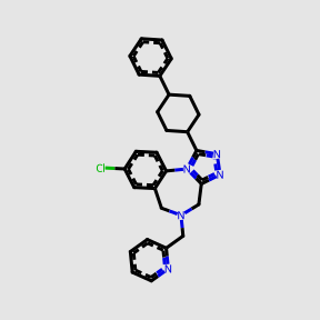 Clc1ccc2c(c1)CN(Cc1ccccn1)Cc1nnc(C3CCC(c4ccccc4)CC3)n1-2